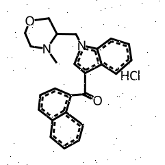 CN1CCOCC1Cn1cc(C(=O)c2cccc3ccccc23)c2ccccc21.Cl